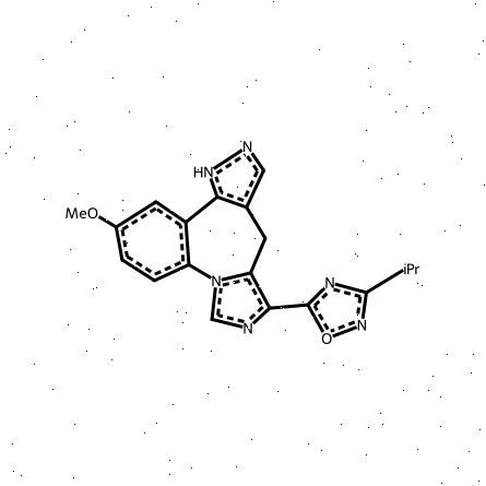 COc1ccc2c(c1)-c1[nH]ncc1Cc1c(-c3nc(C(C)C)no3)ncn1-2